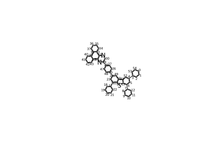 c1ccc(-c2cc(-c3ccccc3)c3sc4c(-c5ccccc5)cc(-c5ccc(-c6cnc7c8ccccc8c8ccccc8c7n6)cc5)cc4c3c2)cc1